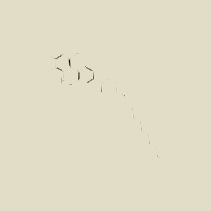 CCCCCCCCCCC[C@H]1CC[C@H](c2ccc(-c3c(F)cc(C)c(F)c3F)c(F)c2)CC1